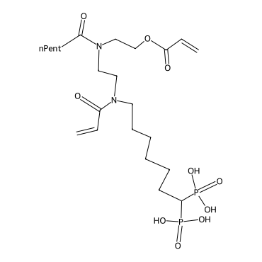 C=CC(=O)OCCN(CCN(CCCCCCC(P(=O)(O)O)P(=O)(O)O)C(=O)C=C)C(=O)CCCCC